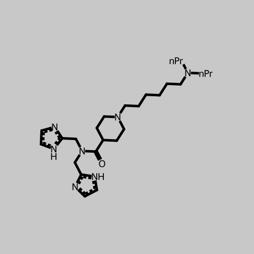 CCCN(CCC)CCCCCCN1CCC(C(=O)N(Cc2ncc[nH]2)Cc2ncc[nH]2)CC1